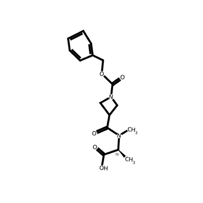 C[C@@H](C(=O)O)N(C)C(=O)C1CN(C(=O)OCc2ccccc2)C1